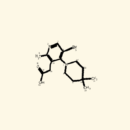 Cc1ncc(Br)c(N2CCC(C)(C)CC2)c1CC(=O)O